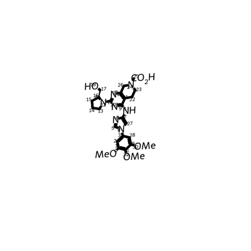 COc1cc(-n2cnc(Nc3nc(N4CCC[C@H]4CO)nc4c3CCN(C(=O)O)C4)c2)cc(OC)c1OC